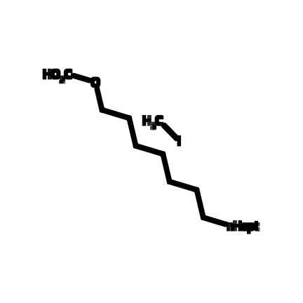 CCCCCCCCCCCCCCOC(=O)O.CI